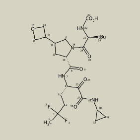 CC(F)(F)CC[C@H](NC(=O)[C@@H]1CC(C2COC2)CN1C(=O)[C@@H](NC(=O)O)C(C)(C)C)C(=O)C(=O)NC1CC1